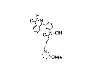 CO[C@@H]1CCCN(CCCCC(=O)Nc2cccc(-c3n[nH]c(=O)c4ccccc34)c2)C1.Cl